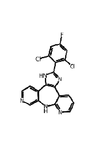 Fc1cc(Cl)c(-c2nc3c([nH]2)-c2ccncc2Nc2ncccc2-3)c(Cl)c1